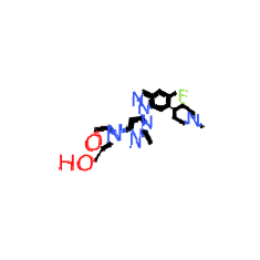 Cc1nc(N2CCO[C@H](CO)C2)cc(-n2ncc3cc(C)c([C@@H]4CCN(C)C[C@@H]4F)cc32)n1